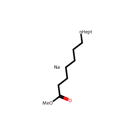 CCCCCCCCCCCCCC(=O)OC.[Na]